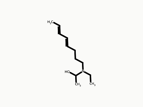 CC=CC=CCCCN(CC)C(C)O